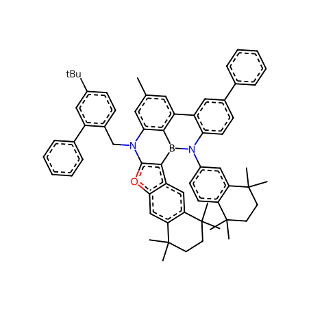 Cc1cc2c3c(c1)N(Cc1ccc(C(C)(C)C)cc1-c1ccccc1)c1oc4cc5c(cc4c1B3N(c1ccc3c(c1)C(C)(C)CCC3(C)C)c1ccc(-c3ccccc3)cc1-2)C(C)(C)CCC5(C)C